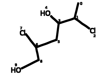 CC(Cl)C(O)CC(Cl)CO